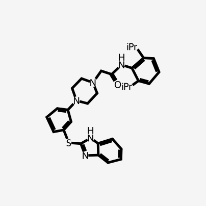 CC(C)c1cccc(C(C)C)c1NC(=O)CN1CCN(c2cccc(Sc3nc4ccccc4[nH]3)c2)CC1